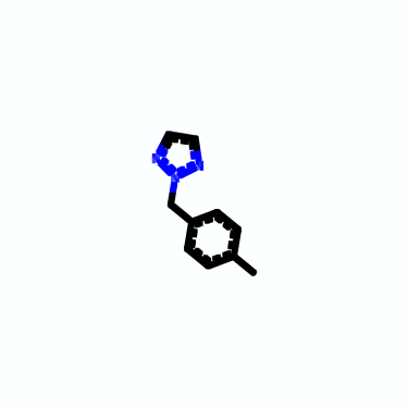 Cc1ccc(Cn2nccn2)cc1